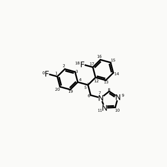 Fc1ccc([C](Cn2cncn2)c2ccccc2F)cc1